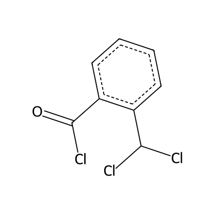 O=C(Cl)c1ccccc1C(Cl)Cl